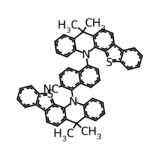 CC1(C)c2ccccc2N(c2cccc3c(N4c5ccccc5C(C)(C)c5ccc6c(sc7ccccc76)c54)c(C#N)ccc23)c2c1ccc1c2sc2ccccc21